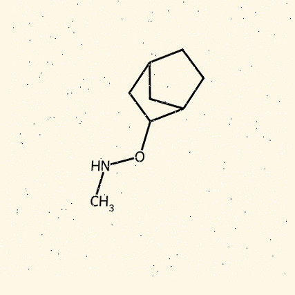 CNOC1CC2CCC1C2